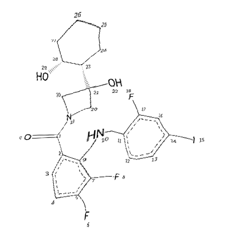 O=C(c1ccc(F)c(F)c1Nc1ccc(I)cc1F)N1CC(O)([C@H]2CCCC[C@H]2O)C1